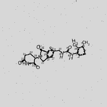 Cc1cccc(NC(=O)NCc2cc3c(s2)C(=O)N(C2CCC(=O)NC2=O)C3)c1C